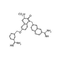 N=C(N)c1cccc(COc2ccc3c(c2)cc(C(=O)O)c(=O)n3Cc2ccc3ccc(C(=N)N)cc3c2)c1